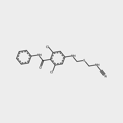 N#CNCSCNc1cc(Cl)c(C(=O)Nc2ccccc2)c(Cl)c1